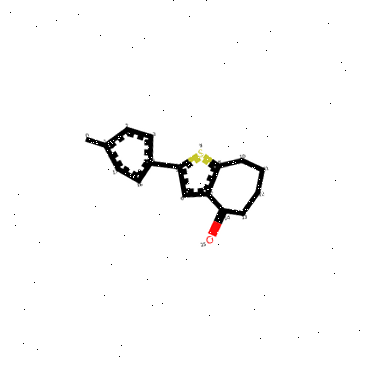 Cc1ccc(-c2cc3c(s2)CCCCC3=O)cc1